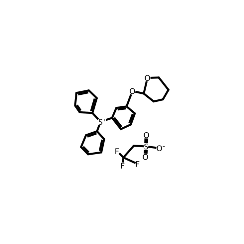 O=S(=O)([O-])CC(F)(F)F.c1ccc([S+](c2ccccc2)c2cccc(OC3CCCCO3)c2)cc1